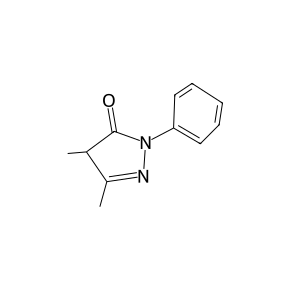 CC1=NN(c2ccccc2)C(=O)C1C